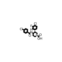 O=C(N[C@@H]1CCN(C(=O)O)C[C@H]1c1ccc(Cl)c(F)c1)c1ccc(Cl)cc1